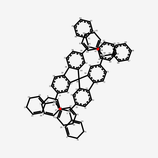 C1=CC(N(C2=CCCC=C2)c2ccc3c(c2)C2(c4cc(N(C5=CCCC=C5)C5=CCCC=C5)ccc4-c4ccc(N(c5ccccc5)c5ccccc5)cc42)c2cc(N(C4=CCCC=C4)c4ccccc4)ccc2-3)=CCC1